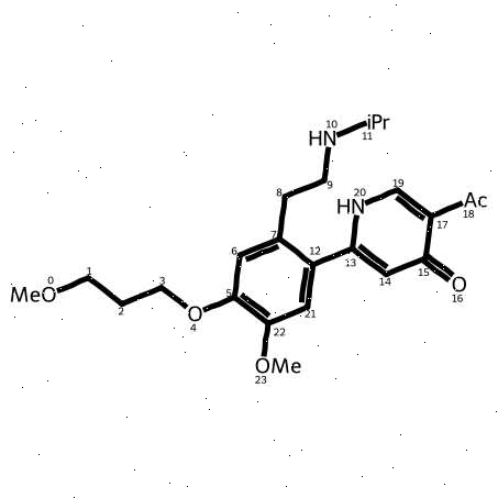 COCCCOc1cc(CCNC(C)C)c(-c2cc(=O)c(C(C)=O)c[nH]2)cc1OC